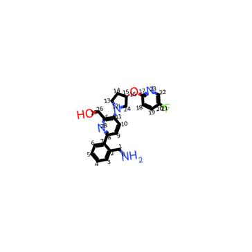 NCc1ccccc1-c1ccc(N2CC[C@H](Oc3ccc(F)cn3)C2)c(CO)n1